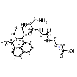 C[C@H](c1cccc2ccccc12)N1CCC(NC(CN)C(=O)NCC(=O)NC/C=C/C(=O)O)CC1